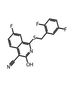 N#Cc1c(O)nc(SCc2cc(F)ccc2F)c2cc(F)ccc12